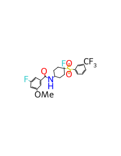 COc1cc(F)cc(C(=O)NC2CCC(F)(S(=O)(=O)c3cccc(C(F)(F)F)c3)CC2)c1